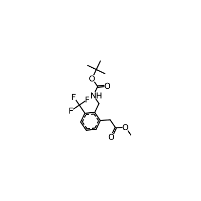 COC(=O)Cc1cccc(C(F)(F)F)c1CNC(=O)OC(C)(C)C